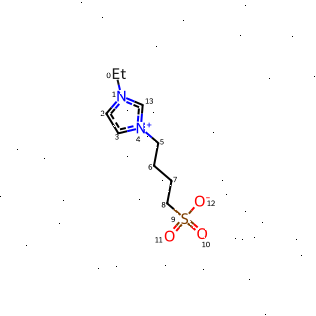 CCn1cc[n+](CCCCS(=O)(=O)[O-])c1